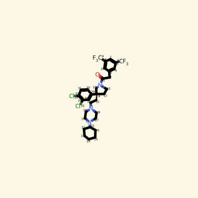 O=C(Cc1cc(C(F)(F)F)cc(C(F)(F)F)c1)N1CC[C@](CCN2CCN(C3CCCCC3)CC2)(c2ccc(Cl)c(Cl)c2)C1